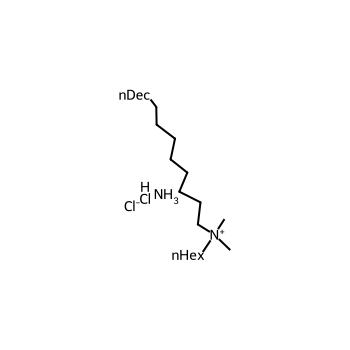 CCCCCCCCCCCCCCCCCC[N+](C)(C)CCCCCC.Cl.N.[Cl-]